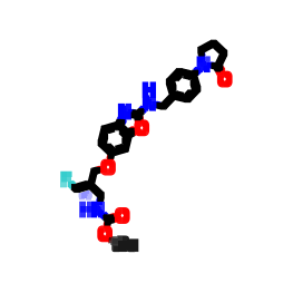 CC(C)(C)OC(=O)NC/C(=C/F)COc1ccc2nc(NCc3ccc(N4CCCC4=O)cc3)oc2c1